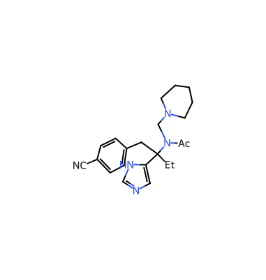 CCC(Cc1ccc(C#N)cc1)(c1cnc[nH]1)N(CN1CCCCC1)C(C)=O